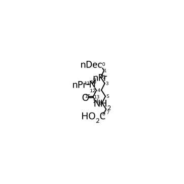 CCCCCCCCCCCCCCCCCC(=O)O.CCCN(CCC)CC(N)=O